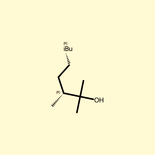 CC[C@@H](C)CC[C@@H](C)C(C)(C)O